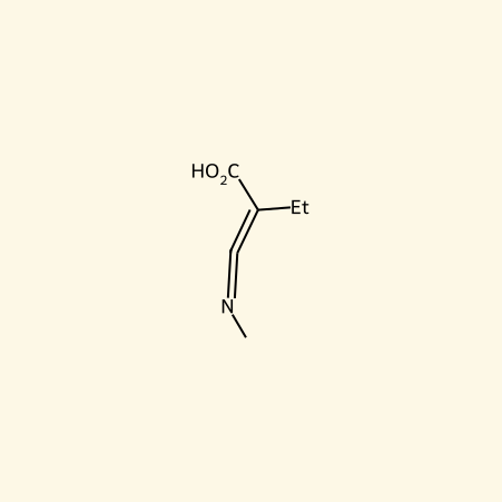 CCC(=C=NC)C(=O)O